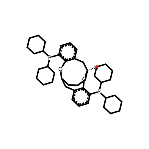 c1cc2c(c(P(C3CCCCC3)C3CCCCC3)c1)OC1CCC[C@H](C2)Oc2c(cccc2P(C2CCCCC2)C2CCCCC2)C1